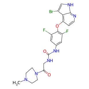 CN1CCN(C(=O)CNC(=O)Nc2cc(F)c(Oc3ccnc4[nH]cc(Br)c34)c(F)c2)CC1